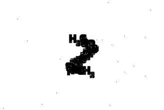 CCOC(=O)CC1(c2ccc(OCc3ccc(C(F)(F)F)c(OC)c3)cc2)COC1